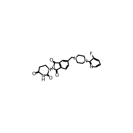 O=C1CCN(N2C(=O)c3ccc(CN4CCN(c5ncccc5F)CC4)cc3C2=O)C(=O)N1